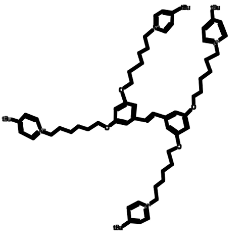 CC(C)(C)c1cc[n+](CCCCCCOc2cc(/C=C/c3cc(OCCCCCC[n+]4ccc(C(C)(C)C)cc4)cc(OCCCCCC[n+]4ccc(C(C)(C)C)cc4)c3)cc(OCCCCCC[n+]3ccc(C(C)(C)C)cc3)c2)cc1